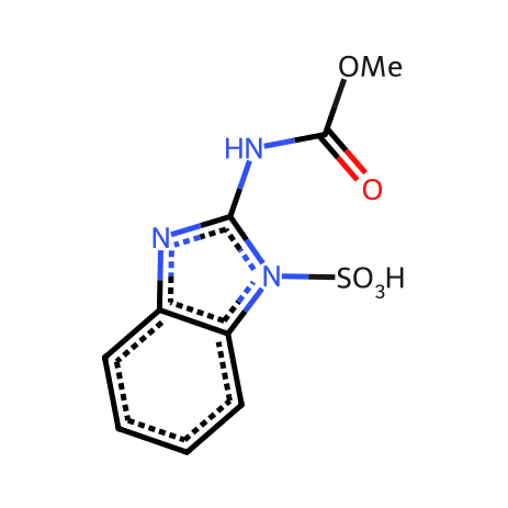 COC(=O)Nc1nc2ccccc2n1S(=O)(=O)O